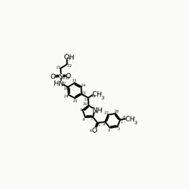 Cc1ccc(C(=O)c2ccc(C(C)c3ccc(NS(=O)(=O)CCO)cc3)[nH]2)cc1